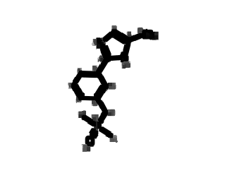 CC(C)(C)c1cnc(-c2cccc(CP(C)(C)=O)c2)s1